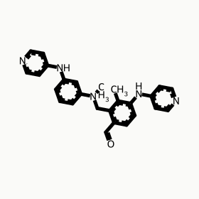 Cc1c(Nc2ccncc2)ccc(C=O)c1CN(C)c1cccc(Nc2ccncc2)c1